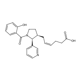 O=C(O)CC/C=C\C[C@@H]1CCN(C(=O)c2ccccc2O)[C@@H]1c1cccnc1